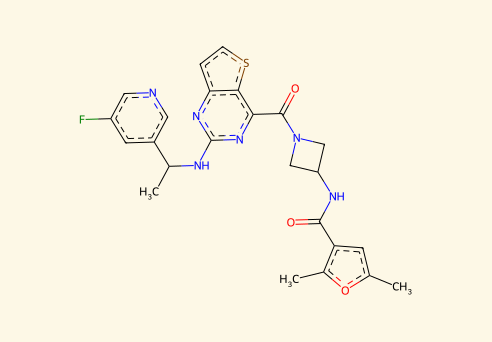 Cc1cc(C(=O)NC2CN(C(=O)c3nc(NC(C)c4cncc(F)c4)nc4ccsc34)C2)c(C)o1